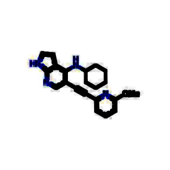 COc1cccc(C#Cc2cnc3[nH]ccc3c2NC2CCCCC2)n1